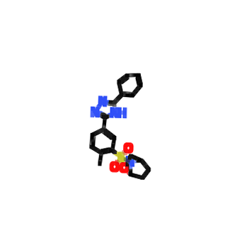 Cc1ccc(-c2nnc(-c3ccccc3)[nH]2)cc1S(=O)(=O)N1C2CCC1OC2